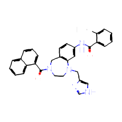 Cc1ccccc1C(=O)Nc1ccc2c(c1)N(Cc1c[nH]cn1)CCN(C(=O)c1cccc3ccccc13)C2